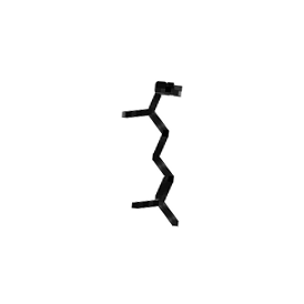 CC(=O)OC(C)CCC=C(C)C